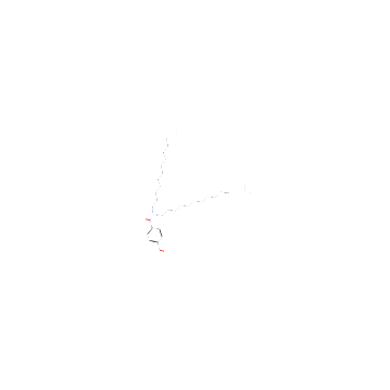 CCCCCCCCCCCCN(CCCCCCCCCCCC)C(=O)c1ccc(C(=O)O)cc1